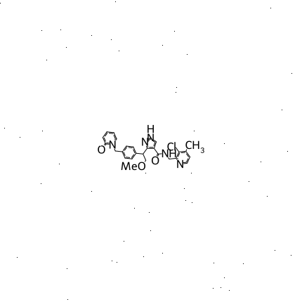 COCC(c1ccc(Cn2ccccc2=O)cc1)c1n[nH]cc1C(=O)NCc1nccc(C)c1Cl